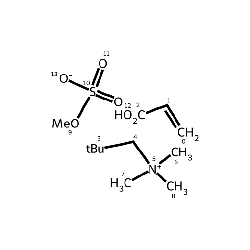 C=CC(=O)O.CC(C)(C)C[N+](C)(C)C.COS(=O)(=O)[O-]